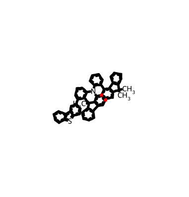 CC1(C)c2ccccc2-c2c(-c3ccccc3N3c4cccc(-c5ccc6sc7ccccc7c6c5)c4C4(C)c5ccccc5-c5cccc3c54)cccc21